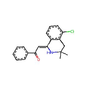 CC1(C)Cc2c(Cl)cccc2C(=CC(=O)c2ccccc2)N1